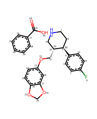 Fc1ccc([C@@H]2CCNC[C@H]2COc2ccc3c(c2)OCO3)cc1.O=C(O)c1ccccc1